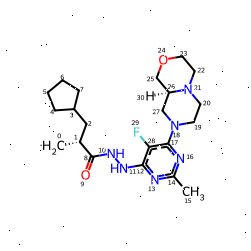 [CH2][C@H](CC1CCCC1)C(=O)NNc1nc(C)nc(N2CCN3CCOC[C@@H]3C2)c1F